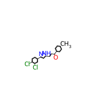 Cc1ccc(C(=O)C=Cc2cc(-c3ccc(Cl)c(Cl)c3)n[nH]2)cc1